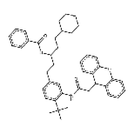 CC(C)(C)c1ccc(CCC(CCC2CCCCC2)OC(=O)c2ccccc2)cc1NC(=O)CC1c2ccccc2Oc2ccccc21